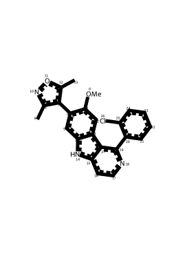 COc1cc2c(cc1-c1c(C)noc1C)[nH]c1ccnc(-c3ccccc3Cl)c12